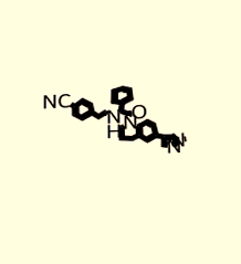 Cn1cc(-c2ccc3c(c2)CCCN3C(=O)C(NCCc2ccc(C#N)cc2)c2ccccc2)cn1